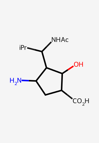 CC(=O)NC(C(C)C)C1C(N)CC(C(=O)O)C1O